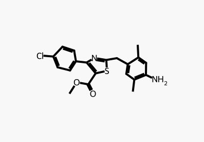 COC(=O)c1sc(Cc2cc(C)c(N)cc2C)nc1-c1ccc(Cl)cc1